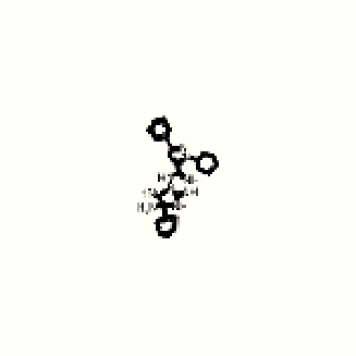 N=C(NN1C(=N)NC(N)(c2ccccc2)C1=N)c1cc(-c2ccccc2)nn1-c1ccccc1